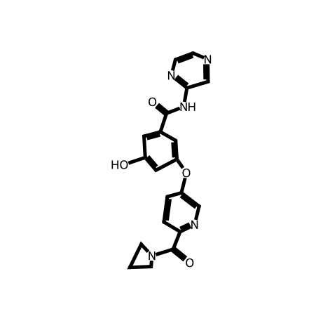 O=C(Nc1cnccn1)c1cc(O)cc(Oc2ccc(C(=O)N3CCC3)nc2)c1